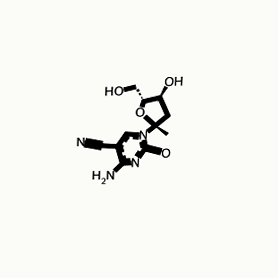 C[C@]1(n2cc(C#N)c(N)nc2=O)C[C@H](O)[C@@H](CO)O1